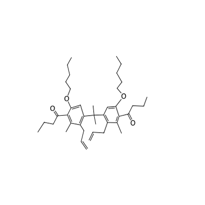 C=CCc1c(C(C)(C)c2cc(OCCCCC)c(C(=O)CCC)c(C)c2CC=C)cc(OCCCCC)c(C(=O)CCC)c1C